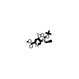 C#CCN(C(=O)OC(C)(C)C)c1cnc(C(=O)OC)cc1OC